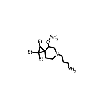 CCC1C(CC)(CC)C12CCN(CCCN)CC2O[SiH3]